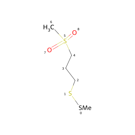 CSSCCCS(C)(=O)=O